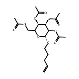 C=CCCCO[C@@H]1OC(COC(C)=O)[C@@H](OC(C)=O)[C@@H](OC(C)=O)C1OC(C)=O